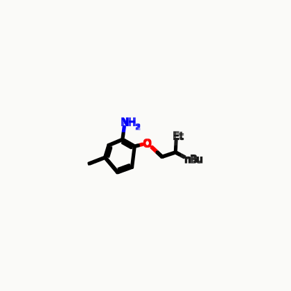 CCCCC(CC)COc1ccc(C)cc1N